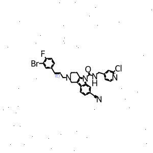 N#Cc1ccc2c3c(n(C(=O)NCc4ccnc(Cl)c4)c2c1)CCN(C/C=C/c1ccc(F)c(Br)c1)C3